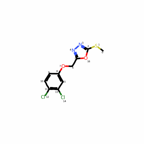 CSc1nnc(COc2ccc(Cl)c(Cl)c2)o1